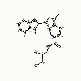 Cn1cc(-c2cc3cccnc3[nH]2)c2cc(C(=O)NCC(O)CO)ccc21